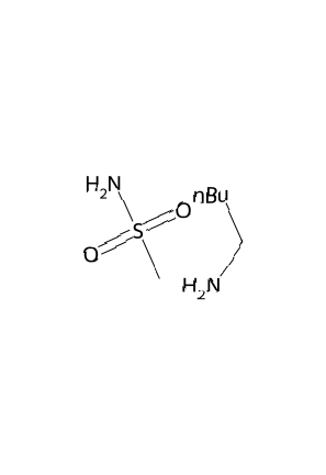 CCCCCN.CS(N)(=O)=O